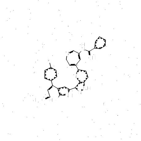 C=C/C=C(/c1ccc(F)cc1)c1cc(-c2n[nH]c3ccc(C4=CCN=CC(NC(=C)c5ccccc5)=C4)nc23)[nH]c1C